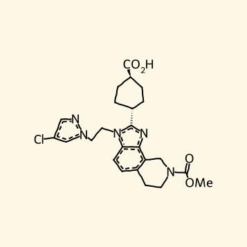 COC(=O)N1CCc2ccc3c(nc([C@H]4CC[C@H](C(=O)O)CC4)n3CCn3cc(Cl)cn3)c2C1